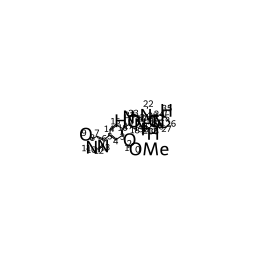 COCOc1cc(-c2cc(=O)n(C)cn2)ccc1-c1cnc(N(C)[C@H]2C[C@@H]3CC[C@H]([C@H]2F)N3C(=O)O)cn1